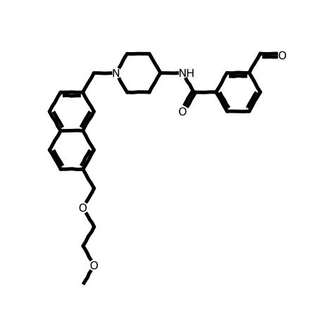 COCCOCc1ccc2ccc(CN3CCC(NC(=O)c4cccc(C=O)c4)CC3)cc2c1